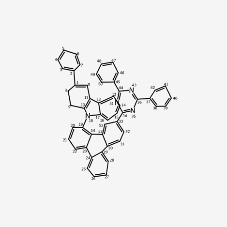 C1=C(c2ccccc2)CCc2c1c1ccccc1n2-c1cccc2c3ccccc3c3ccc(-c4nc(-c5ccccc5)nc(-c5ccccc5)n4)cc3c12